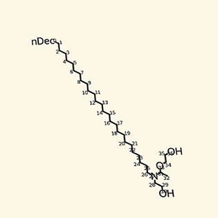 CCCCCCCCCCCCCCCCCCCCCCCCCCCCCCCCCCCCN(CCO)C(C)OCCO